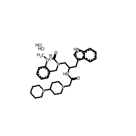 COc1ccccc1CN(CC(Cc1c[nH]c2ccccc12)NC(=O)CN1CCC(N2CCCCC2)CC1)C(C)=O.Cl.Cl